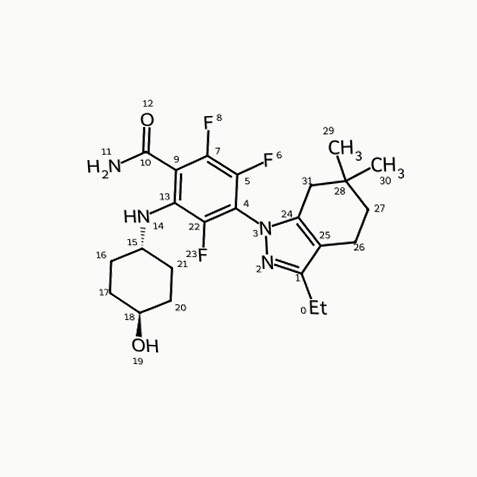 CCc1nn(-c2c(F)c(F)c(C(N)=O)c(N[C@H]3CC[C@H](O)CC3)c2F)c2c1CCC(C)(C)C2